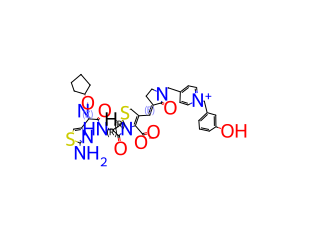 Nc1nc(/C(=N/OC2CCCC2)C(=O)N[C@@H]2C(=O)N3C(C(=O)[O-])=C(/C=C4\CCN(Cc5cc[n+](Cc6cccc(O)c6)cc5)C4=O)CS[C@H]23)cs1